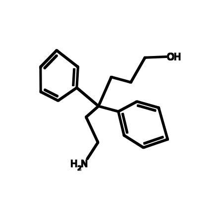 NCCC(CCCO)(c1ccccc1)c1ccccc1